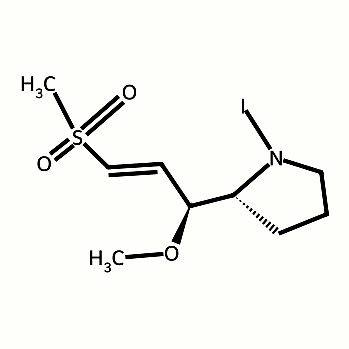 CO[C@@H](/C=C/S(C)(=O)=O)[C@H]1CCCN1I